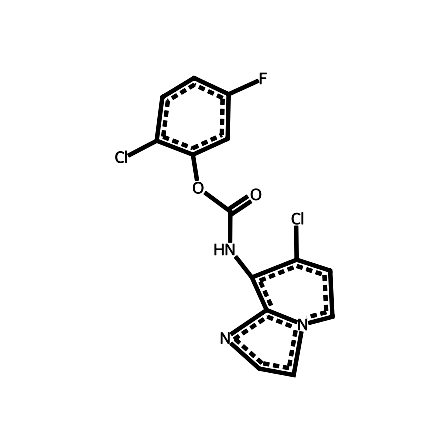 O=C(Nc1c(Cl)ccn2ccnc12)Oc1cc(F)ccc1Cl